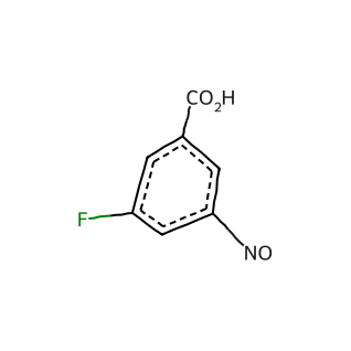 O=Nc1cc(F)cc(C(=O)O)c1